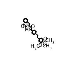 COc1cc(C=Cc2ccc(NC(=O)/C=C/c3ccccc3[N+](=O)[O-])cc2)cc(OC)c1OC